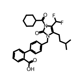 CC(C)CCc1c(C(F)F)n(C(=O)C2CCCCC2)c(=O)n1Cc1ccc(-c2ccccc2C(=O)O)cc1